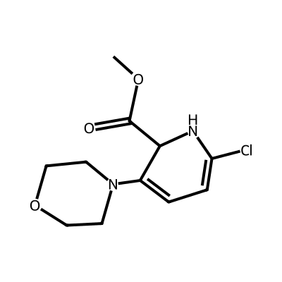 COC(=O)C1NC(Cl)=CC=C1N1CCOCC1